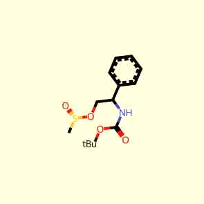 CS(=O)OCC(NC(=O)OC(C)(C)C)c1ccccc1